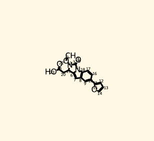 CON1C(=O)n2c(cc3cc(-c4ccco4)ccc32)C1CC(=O)O